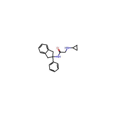 O=C(CNC1CC1)NC1(c2ccccc2)Cc2ccccc2C1